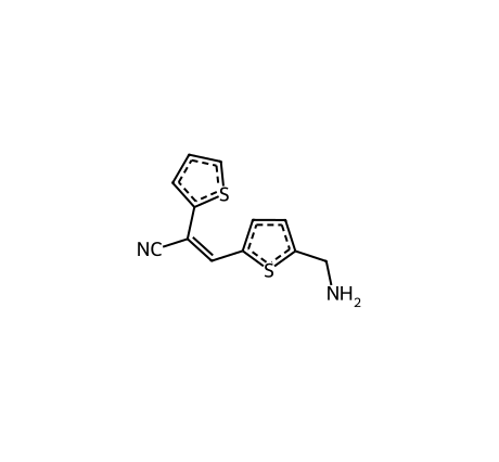 N#CC(=Cc1ccc(CN)s1)c1cccs1